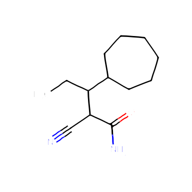 CCC(C1CCCCCC1)C(C#N)C(N)=O